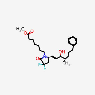 COC(=O)CCCCCCN1C(=O)C(F)(F)C[C@@H]1C=C[C@@H](O)[C@H](C)CCCc1ccccc1